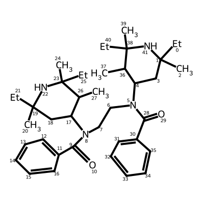 CCC1(C)CC(N(CCN(C(=O)c2ccccc2)C2CC(C)(CC)NC(C)(CC)C2C)C(=O)c2ccccc2)C(C)C(C)(CC)N1